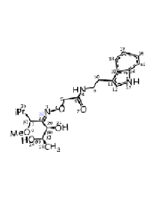 CO[C@H](/C(=N/OCC(=O)NCCc1c[nH]c2ccccc12)[C@@H](O)[C@@H](C)O)C(C)C